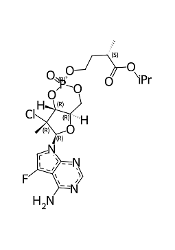 CC(C)OC(=O)[C@@H](C)CCO[P@]1(=O)OC[C@H]2O[C@@H](n3cc(F)c4c(N)ncnc43)[C@](C)(Cl)[C@@H]2O1